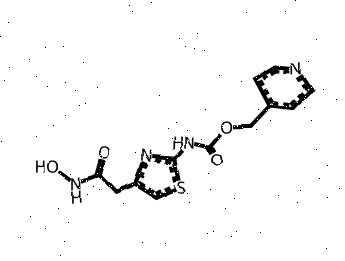 O=C(Cc1csc(NC(=O)OCc2ccncc2)n1)NO